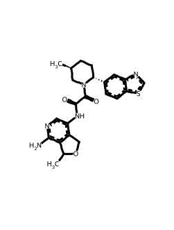 CC1OCc2c(NC(=O)C(=O)N3C[C@@H](C)CC[C@@H]3c3ccc4scnc4c3)cnc(N)c21